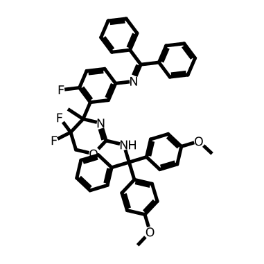 COc1ccc(C(NC2=NC(C)(c3cc(N=C(c4ccccc4)c4ccccc4)ccc3F)C(F)(F)CO2)(c2ccccc2)c2ccc(OC)cc2)cc1